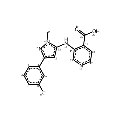 Cn1nc(-c2cccc(Cl)c2)cc1Nc1cnccc1C(=O)O